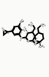 CCC1CC[C@]2(C)OC3OC(Oc4cc(O)cc(C5CO5)c4)[C@H](C)C(CC)C13O2